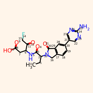 CCC(C(=O)NC(CC(=O)O)C(=O)CF)N1Cc2ccc(-c3cnc(N)nc3)cc2C1=O